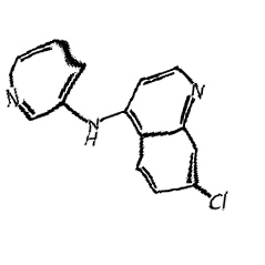 Clc1ccc2c(Nc3cccnc3)ccnc2c1